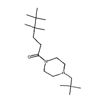 CC(C)(C)CN1CCN(C(=O)CCC(C)(C)C(C)(C)C)CC1